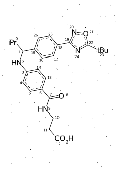 CC(C)C(Nc1ccc(C(=O)NCCC(=O)O)cc1)c1ccc(-c2noc(C(C)(C)C)n2)cc1